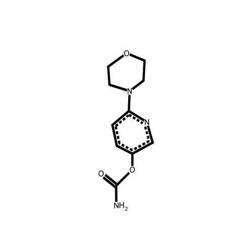 NC(=O)Oc1ccc(N2CCOCC2)nc1